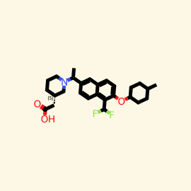 CC1CCC(Oc2ccc3cc(C(C)N4CCC[C@@H](CC(=O)O)C4)ccc3c2C(F)F)CC1